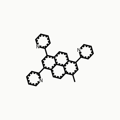 Cc1cc(-c2ccccn2)c2ccc3c(-c4ccccn4)cc(-c4ccccn4)c4ccc1c2c43